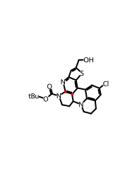 CC(C)(C)OC(=O)N1CCC(N2CCCc3cc(Cl)cc(-c4ccnc5cc(CO)sc45)c32)CC1